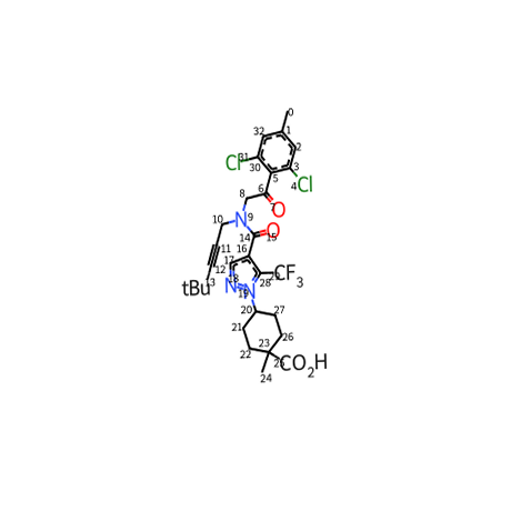 Cc1cc(Cl)c(C(=O)CN(CC#CC(C)(C)C)C(=O)c2cnn(C3CCC(C)(C(=O)O)CC3)c2C(F)(F)F)c(Cl)c1